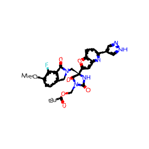 COc1ccc2c(c1F)C(=O)N(C[C@@]1(c3cc4nc(-c5cn[nH]c5)ccc4o3)NC(=O)N(COC(=O)C(C)(C)C)C1=O)C2